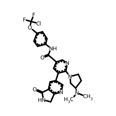 CN(C)[C@@H]1CCN(c2ncc(C(=O)Nc3ccc(OC(F)(F)Cl)cc3)cc2-c2cnc3c(c2)C(=O)NC3)C1